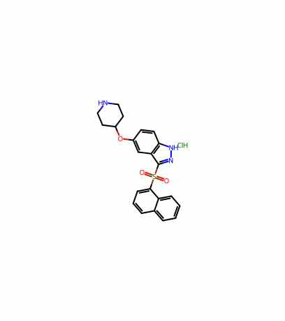 Cl.O=S(=O)(c1cccc2ccccc12)c1n[nH]c2ccc(OC3CCNCC3)cc12